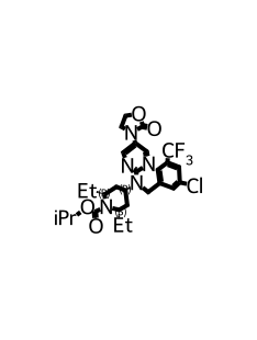 CC[C@@H]1C[C@H](N(Cc2cc(Cl)cc(C(F)(F)F)c2)c2ncc(N3CCOC3=O)cn2)C[C@H](CC)N1C(=O)OC(C)C